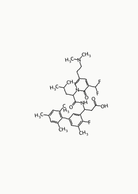 Cc1cc(C)c(-c2cc(C)c(F)c(C(CC(=O)O)NC(=O)C(CC(C)C)n3cc(CCN(C)C)cc(C(F)F)c3=O)c2)c(C)c1